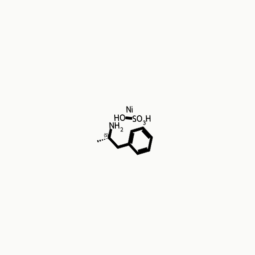 C[C@H](N)Cc1ccccc1.O=S(=O)(O)O.[Ni]